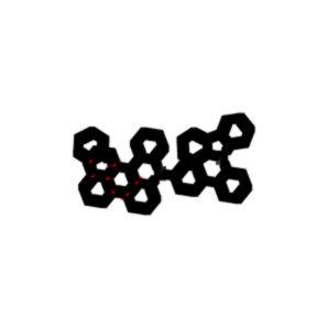 c1cc(-c2cccc3c2oc2ccccc23)cc(N(c2ccc(-c3ccccc3-n3c4ccccc4c4ccccc43)cc2)c2ccccc2-c2cccc3ccccc23)c1